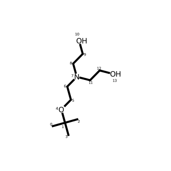 CC(C)(C)OCCN(CCO)CCO